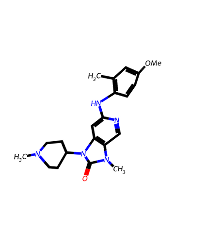 COc1ccc(Nc2cc3c(cn2)n(C)c(=O)n3C2CCN(C)CC2)c(C)c1